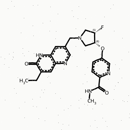 CCc1cc2ncc(CN3C[C@H](F)[C@H](Oc4ccc(C(=O)NC)nc4)C3)cc2[nH]c1=O